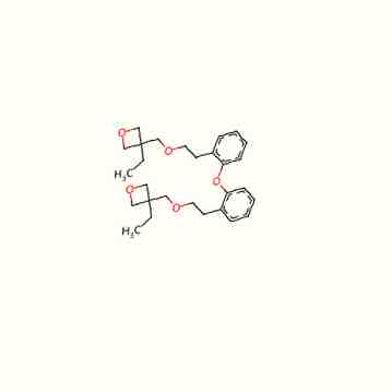 CCC1(COCCc2ccccc2Oc2ccccc2CCOCC2(CC)COC2)COC1